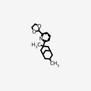 CC1CC2CC(C1)CC(C)(c1cccc(C3OCCO3)n1)C2